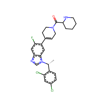 C[C@H](c1ccc(Cl)cc1Cl)n1cnc2cc(F)c(C3=CCN(C(=O)C4CCCCN4)CC3)cc21